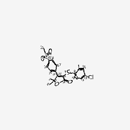 CC1(C)OC(=O)C(Sc2ccc(Cl)cn2)=C1c1ccc(S(C)(=O)=O)cc1